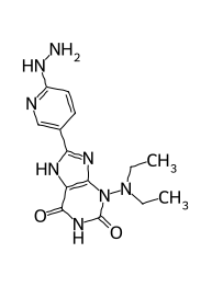 CCN(CC)n1c(=O)[nH]c(=O)c2[nH]c(-c3ccc(NN)nc3)nc21